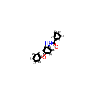 O=C(Nc1ccc(Oc2ccccc2)cc1)c1ccccc1